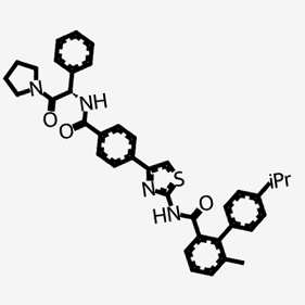 Cc1cccc(C(=O)Nc2nc(-c3ccc(C(=O)N[C@H](C(=O)N4CCCC4)c4ccccc4)cc3)cs2)c1-c1ccc(C(C)C)cc1